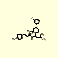 CC(C)CC(NC(=O)CCc1ccc(O)cc1)N1CC[C@@H](c2cccc(O)c2)CC1(C)C